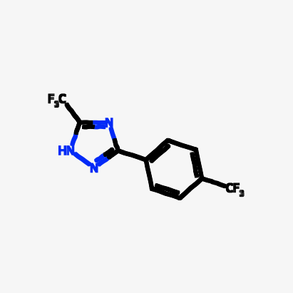 FC(F)(F)c1ccc(-c2n[nH]c(C(F)(F)F)n2)cc1